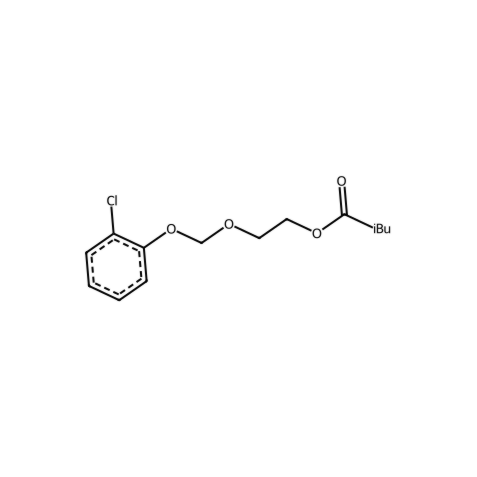 CCC(C)C(=O)OCCOCOc1ccccc1Cl